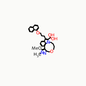 COc1c2c(nn1C)COCCCCn1c(C(O)O)c(CCCOc3cccc4ccccc34)c3cccc-2c31